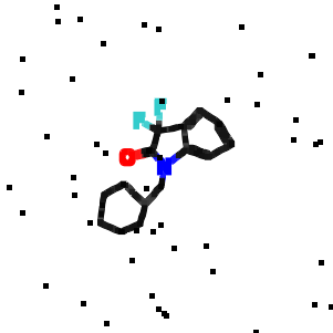 O=C1N(CC2CCCCC2)c2ccccc2C1(F)F